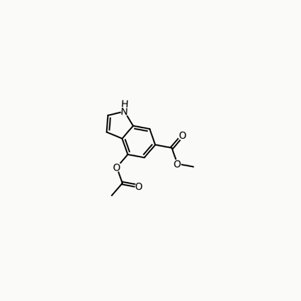 COC(=O)c1cc(OC(C)=O)c2cc[nH]c2c1